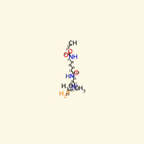 C#CCOC(=O)NCCCCCC(=O)NCCC[N+](C)(C)CCP